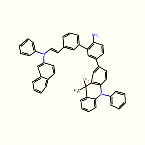 CC1(C)c2ccccc2N(c2ccccc2)c2ccc(-c3ccc(N)c(-c4cccc(/C=C/N(c5ccccc5)c5ccc6ccccc6c5)c4)c3)cc21